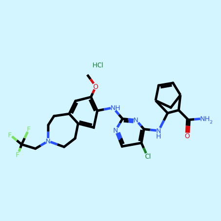 COc1cc2c(cc1Nc1ncc(Cl)c(NC3C4C=CC(C4)C3C(N)=O)n1)CCN(CC(F)(F)F)CC2.Cl